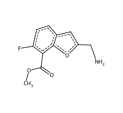 COC(=O)c1c(F)ccc2cc(CN)oc12